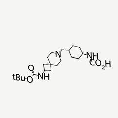 CC(C)(C)OC(=O)NC1CC2(CCN(C[C@H]3CC[C@H](NC(=O)O)CC3)CC2)C1